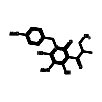 COc1ccc(Cn2c(O)c(OC)c(O)c(C(=O)C(C)CC(F)(F)F)c2=O)cc1